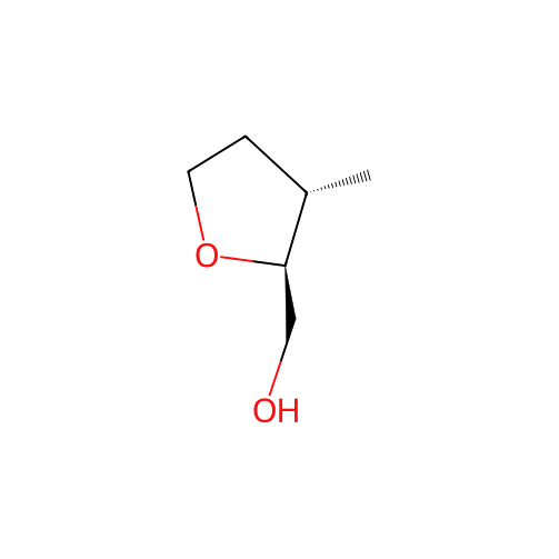 C[C@H]1CCO[C@@H]1CO